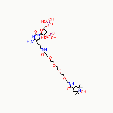 CC1(C)CC(C(=O)NCCOCCOCCOCCOCCC(=O)NCCCc2cn([C@@H]3O[C@H](COP(=O)(O)O)C(OP(=O)(O)O)C3O)c(=O)nc2N)CC(C)(C)N1O